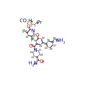 CC(C)CC(Oc1nc(Oc2cc(C(=O)N3CCC(C(N)=O)CC3)cc(-c3cccc(CN)c3)c2)c(F)cc1F)C(=O)O